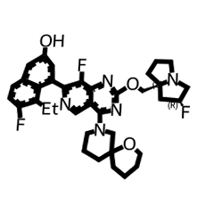 CCc1c(F)ccc2cc(O)cc(-c3ncc4c(N5CCCC6(CCCCO6)C5)nc(OC[C@@]56CCCN5C[C@H](F)C6)nc4c3F)c12